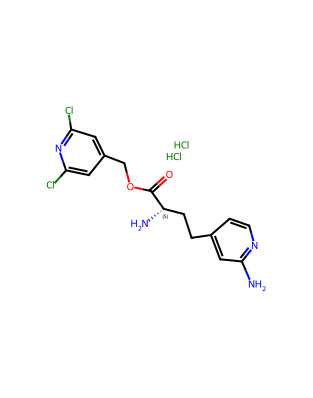 Cl.Cl.Nc1cc(CC[C@H](N)C(=O)OCc2cc(Cl)nc(Cl)c2)ccn1